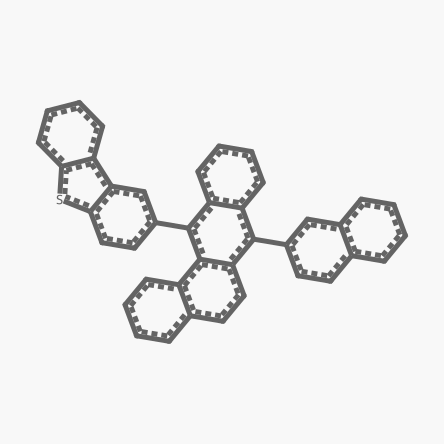 c1ccc2cc(-c3c4ccccc4c(-c4ccc5sc6ccccc6c5c4)c4c3ccc3ccccc34)ccc2c1